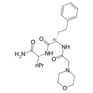 CCCC(NC(=O)[C@H](CCc1ccccc1)NC(=O)CN1CCOCC1)C(N)=O